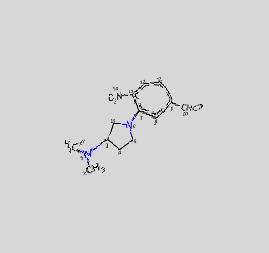 CN(C)C1CCN(c2cc(C=O)ccc2[N+](=O)[O-])C1